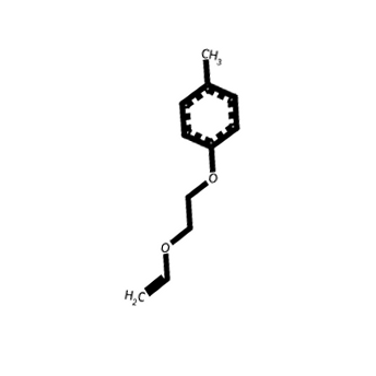 C=COCCOc1ccc(C)cc1